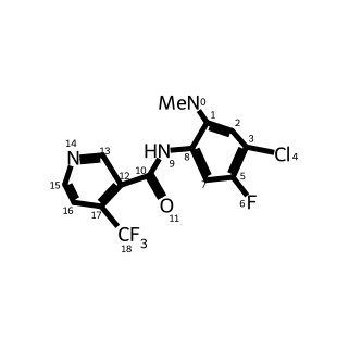 CNc1cc(Cl)c(F)cc1NC(=O)c1cnccc1C(F)(F)F